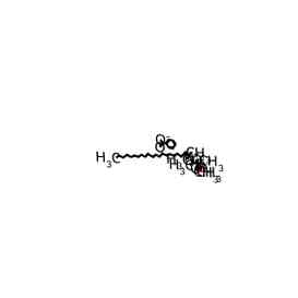 CCCCCCCCCCCCCCCCCCCC[N+](C)(C)CC(C)[Si](OC)(OC)OC.O=C([O-])c1ccccc1